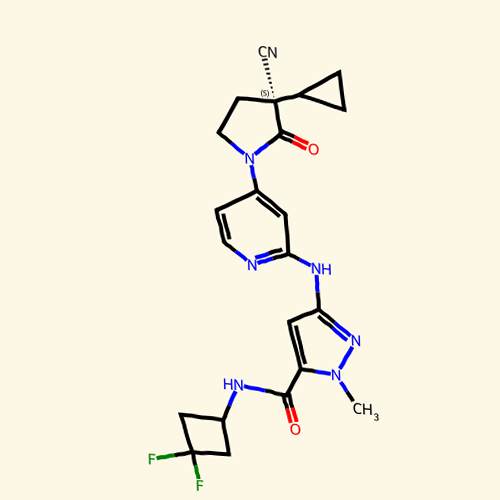 Cn1nc(Nc2cc(N3CC[C@@](C#N)(C4CC4)C3=O)ccn2)cc1C(=O)NC1CC(F)(F)C1